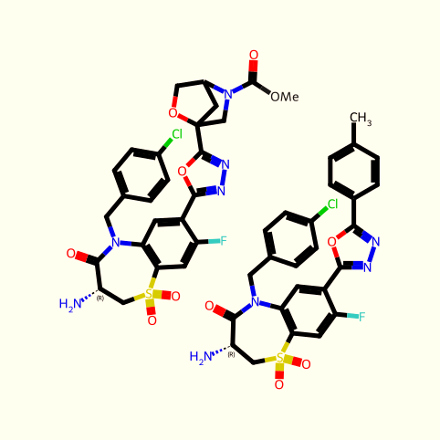 COC(=O)N1CC2(c3nnc(-c4cc5c(cc4F)S(=O)(=O)C[C@H](N)C(=O)N5Cc4ccc(Cl)cc4)o3)CC1CO2.Cc1ccc(-c2nnc(-c3cc4c(cc3F)S(=O)(=O)C[C@H](N)C(=O)N4Cc3ccc(Cl)cc3)o2)cc1